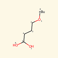 CCCCOCCCC(O)O